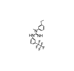 CCc1cccc(N(C)C(=N)Nc2cccc(C(F)(F)C(F)(F)F)c2)c1